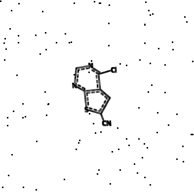 N#Cc1cc2c(Cl)ncnc2s1